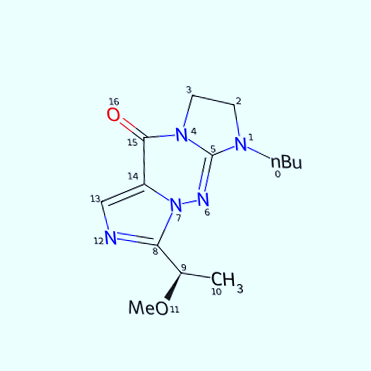 CCCCN1CCn2c1nn1c([C@@H](C)OC)ncc1c2=O